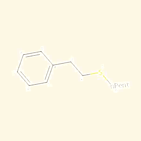 [CH2]CCCCSCCc1ccccc1